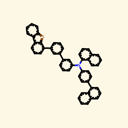 c1cc(-c2cccc(N(c3ccc(-c4cccc5ccccc45)cc3)c3cccc4ccccc34)c2)cc(-c2cccc3c2sc2ccccc23)c1